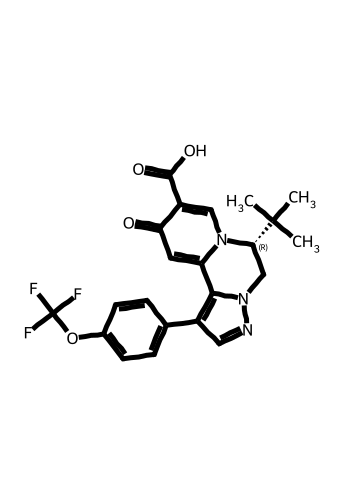 CC(C)(C)[C@@H]1Cn2ncc(-c3ccc(OC(F)(F)F)cc3)c2-c2cc(=O)c(C(=O)O)cn21